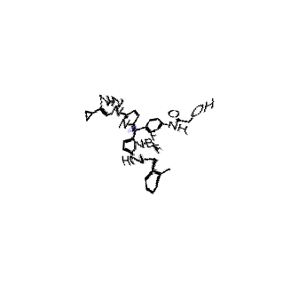 Cc1ccccc1CNc1ccc(/C(=C2/C=CC(n3cc(C4CC4)nn3)=N2)c2ccc(NC(=O)CO)cc2)n1B(F)F